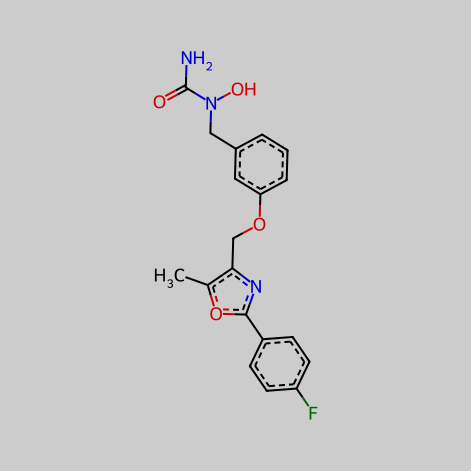 Cc1oc(-c2ccc(F)cc2)nc1COc1cccc(CN(O)C(N)=O)c1